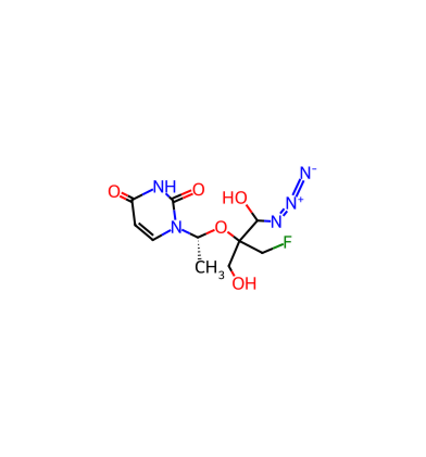 C[C@@H](OC(CO)(CF)C(O)N=[N+]=[N-])n1ccc(=O)[nH]c1=O